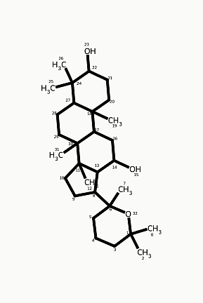 CC1(C)CCCC(C)(C2CCC3(C)C2C(O)CC2C4(C)CCC(O)C(C)(C)C4CCC23C)O1